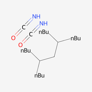 CCCCC(CCCC)CC(CCCC)CCCC.N=C=O.N=C=O